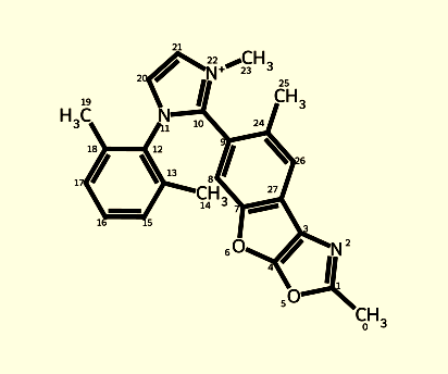 Cc1nc2c(o1)oc1cc(-c3n(-c4c(C)cccc4C)cc[n+]3C)c(C)cc12